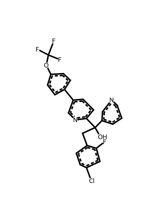 OC(Cc1ccc(Cl)cc1F)(c1cccnc1)c1ccc(-c2ccc(OC(F)(F)F)cc2)cn1